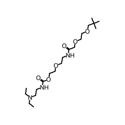 CCN(CC)CCNC(=O)OCCOCCNC(=O)COCCOCC(C)(C)C